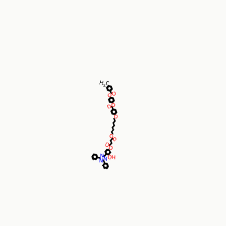 Cc1ccc(C(=O)Oc2ccc(OC(=O)c3ccc(OCCCCCCCCOC(=O)CCC(=O)Oc4ccc(-c5nc(-c6ccccc6)nc(-c6ccccc6)n5)c(O)c4)cc3)cc2)cc1